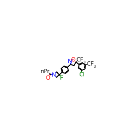 CCCC(=O)N1CC(F)(c2ccc(C3=NOC(c4cc(Cl)cc(C(F)(F)F)c4)(C(F)(F)F)C3)cc2)C1